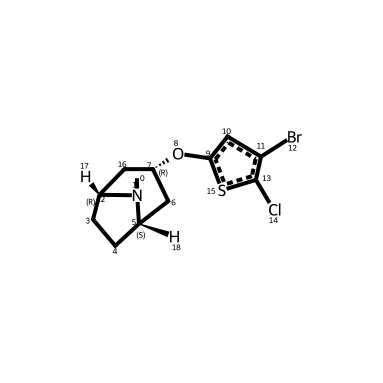 CN1[C@@H]2CC[C@H]1C[C@@H](Oc1cc(Br)c(Cl)s1)C2